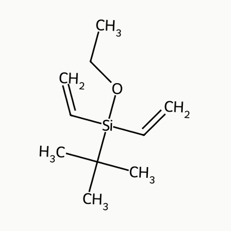 C=C[Si](C=C)(OCC)C(C)(C)C